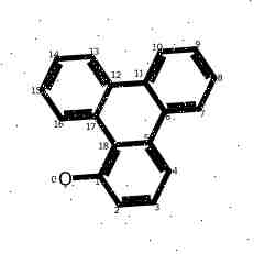 [O]c1cccc2c3ccccc3c3ccccc3c12